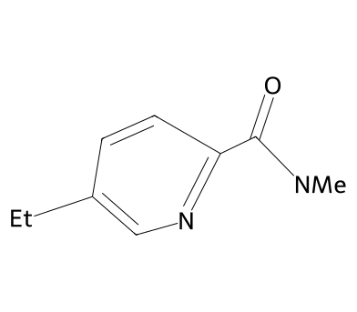 CCc1ccc(C(=O)NC)nc1